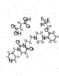 Cc1cn(Cc2ccncc2)c(=O)n(CCCN2CCN(c3ccccc3OCC(F)(F)F)CC2)c1=O.O=C(O)C=CC(=O)O